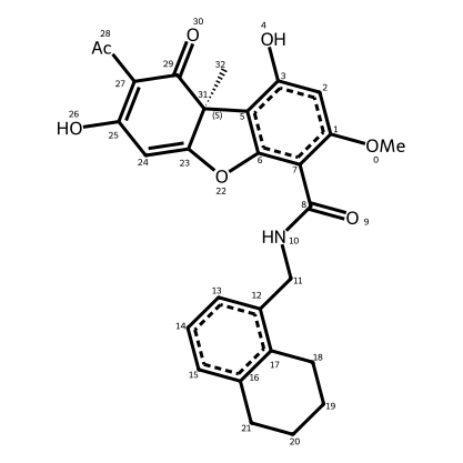 COc1cc(O)c2c(c1C(=O)NCc1cccc3c1CCCC3)OC1=CC(O)=C(C(C)=O)C(=O)[C@]12C